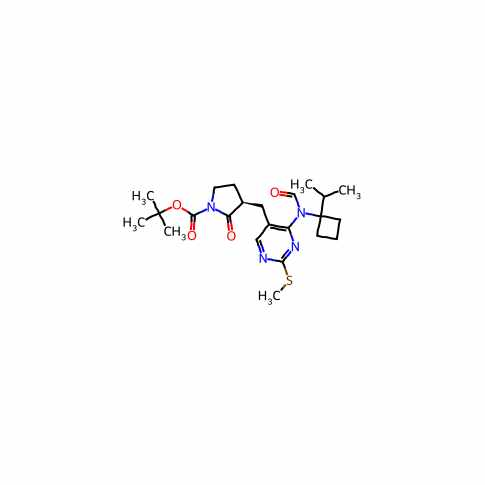 CSc1ncc(C[C@@H]2CCN(C(=O)OC(C)(C)C)C2=O)c(N(C=O)C2(C(C)C)CCC2)n1